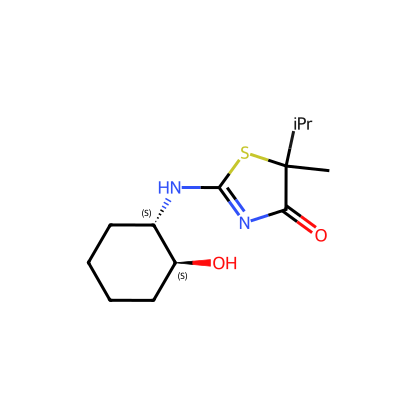 CC(C)C1(C)SC(N[C@H]2CCCC[C@@H]2O)=NC1=O